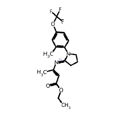 CCOC(=O)C=C(C)/N=C1\CCCN1c1ccc(OC(F)(F)F)cc1C